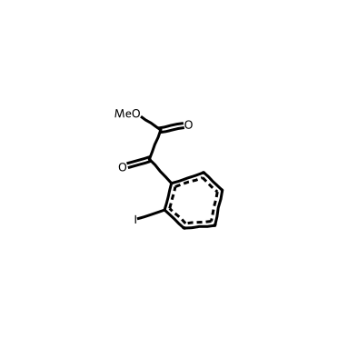 COC(=O)C(=O)c1ccccc1I